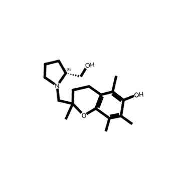 Cc1c(C)c2c(c(C)c1O)CCC(C)(CN1CCC[C@@H]1CO)O2